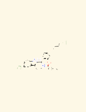 CC(C)COC(=O)N1CCc2c([nH]c3ccc(Cl)cc23)C1c1ccc(OCCCCCl)cc1